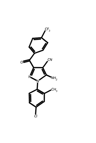 Cc1cc(Cl)ccc1-n1nc(C(=O)c2ccc(C(F)(F)F)cc2)c(C#N)c1N